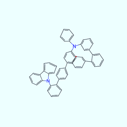 c1ccc(-c2ccccc2-c2cccc(N(c3ccccc3)c3ccc(-c4ccc(-c5ccccc5-n5c6ccccc6c6ccccc65)cc4)cc3)c2)cc1